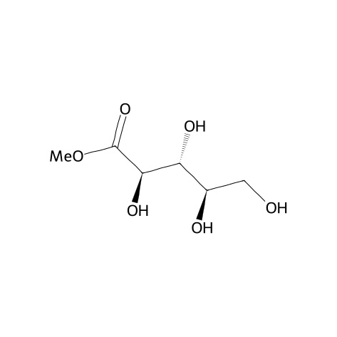 COC(=O)[C@H](O)[C@H](O)[C@H](O)CO